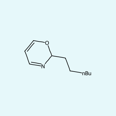 CCCCCCC1N=CC=CO1